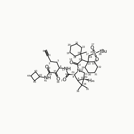 C#CCCC(NC(=O)[C@@H]1C2[C@H](CN1C(=O)C(C1(C)CCCCC1)C1(CS(=O)(=O)C(C)(C)C)CCCCC1)C2(C)C)C(=O)C(=O)NC1CCC1